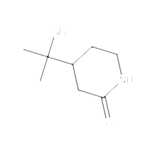 CCCC(C)(C)C1CCNC(=O)C1